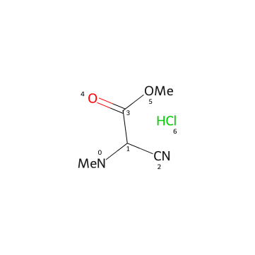 CNC(C#N)C(=O)OC.Cl